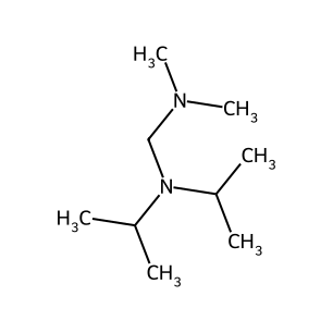 CC(C)N(CN(C)C)C(C)C